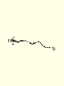 O=C(CCCCCCCCCCCCCCCCCCCCCCCCCCCCCCCCCCCCCCS)NO